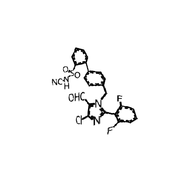 N#CNS(=O)(=O)c1ccccc1-c1ccc(Cn2c(-c3c(F)cccc3F)nc(Cl)c2C=O)cc1